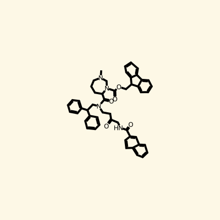 CN1CCCC(C(=O)N(CCC(=O)CNC(=O)c2ccc3ccccc3c2)CC(c2ccccc2)c2ccccc2)N(C(=O)OCC2c3ccccc3-c3ccccc32)C1